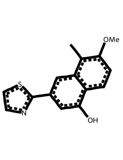 COc1ccc2c(O)cc(-c3nccs3)cc2c1C